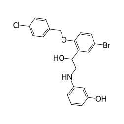 Oc1cccc(NCC(O)c2cc(Br)ccc2OCc2ccc(Cl)cc2)c1